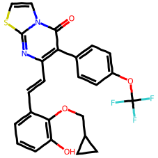 O=c1c(-c2ccc(OC(F)(F)F)cc2)c(C=Cc2cccc(O)c2OCC2CC2)nc2sccn12